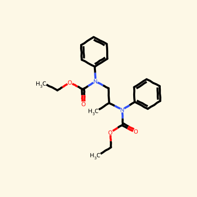 CCOC(=O)N(CC(C)N(C(=O)OCC)c1ccccc1)c1ccccc1